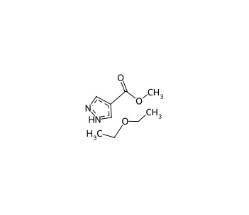 CCOCC.COC(=O)c1cn[nH]c1